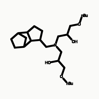 CCCCOCC(O)CN(CC(O)COCCCC)CC1CCC2C3CCC(C3)C12